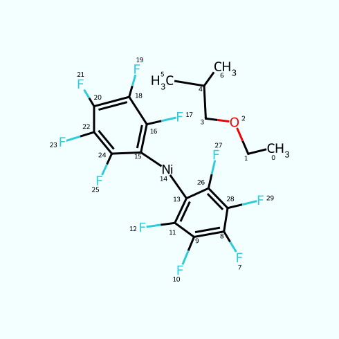 CCOCC(C)C.Fc1c(F)c(F)[c]([Ni][c]2c(F)c(F)c(F)c(F)c2F)c(F)c1F